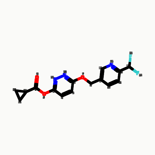 O=C(Oc1ccc(OCc2ccc(C(F)F)nc2)nn1)C1CC1